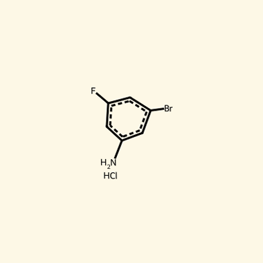 Cl.Nc1cc(F)cc(Br)c1